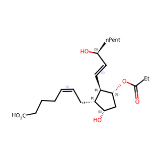 CCCCC[C@H](O)/C=C/[C@@H]1[C@@H](C/C=C\CCCC(=O)O)[C@@H](O)C[C@H]1OC(=O)CC